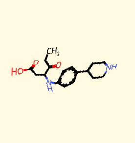 CCC(=O)C(CC(=O)O)Nc1ccc(C2CCNCC2)cc1